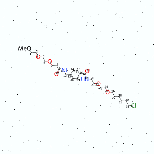 COCCOCCOCCC(=O)NCc1ccc(C(=O)NCCOCCOCCCCCCCl)cc1